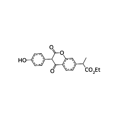 CCOC(=O)C(C)c1ccc2c(c1)OC(=O)C(c1ccc(O)cc1)C2=O